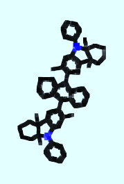 Cc1cc2c(cc1-c1c3ccccc3c(-c3cc4c(cc3C)N(c3ccccc3)C3(C)CCCCC43C)c3ccccc13)C1(C)CCCCC1(C)N2c1ccccc1